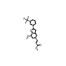 COC(=O)/C=C/c1cc(OC)c2oc(-c3cccc(C(F)(F)F)c3)cc2c1